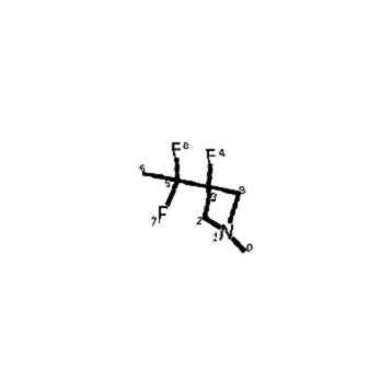 CN1CC(F)(C(C)(F)F)C1